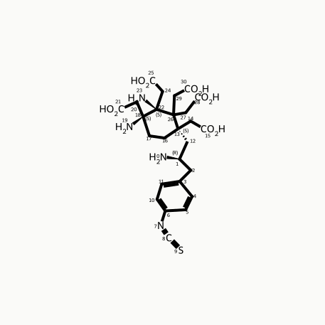 N[C@H](Cc1ccc(N=C=S)cc1)C[C@]1(CC(=O)O)CC[C@](N)(CC(=O)O)[C@](N)(CC(=O)O)C1(CC(=O)O)CC(=O)O